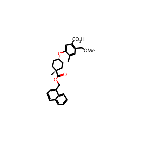 COCc1cc(C)c(O[C@H]2CC[C@@](C)(C(=O)OCc3cccc4ccccc34)CC2)cc1C(=O)O